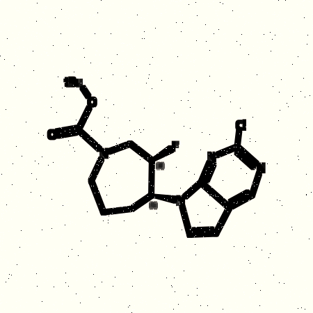 CC(C)(C)OC(=O)N1CCC[C@H](n2ccc3cnc(Cl)nc32)[C@H](F)C1